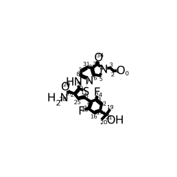 COCCN1Cc2nc(Nc3sc(-c4c(F)cc(C(C)(C)O)cc4F)cc3C(N)=O)ccc2C1=O